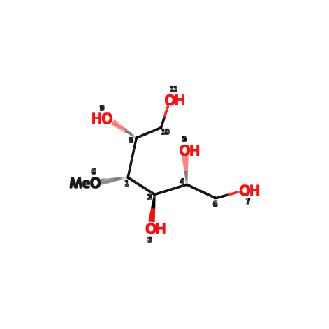 CO[C@@H]([C@H](O)[C@H](O)CO)[C@H](O)CO